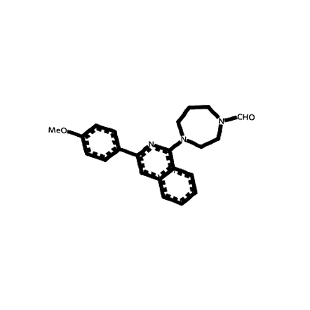 COc1ccc(-c2cc3ccccc3c(N3CCCN(C=O)CC3)n2)cc1